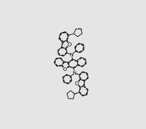 c1ccc(N(c2cccc3c2oc2c(C4CCCC4)cccc23)c2c3ccccc3c(N(c3ccccc3)c3cccc4c3oc3c(C5CCCC5)cccc34)c3c2oc2ccccc23)cc1